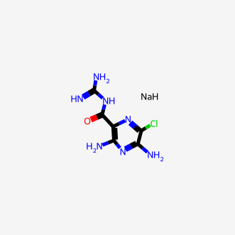 N=C(N)NC(=O)c1nc(Cl)c(N)nc1N.[NaH]